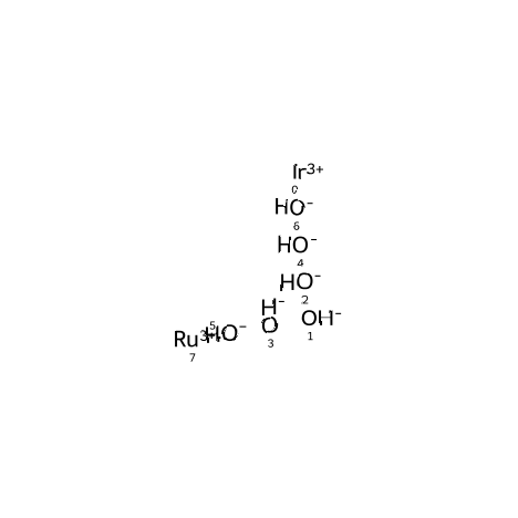 [Ir+3].[OH-].[OH-].[OH-].[OH-].[OH-].[OH-].[Ru+3]